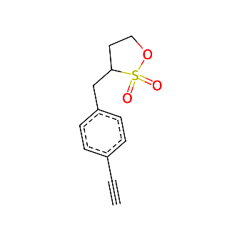 C#Cc1ccc(CC2CCOS2(=O)=O)cc1